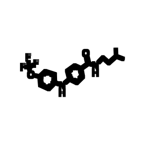 CC(C)CCNC(=O)c1ccc(Nc2ccc(OC(F)(F)F)cc2)cc1